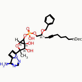 CCCCCCCCCCCCCCC#CC[C@H](COP(=O)(O)OC1[C@H]2O[C@@](C)(c3ccc4c(N)ncnn34)[C@H](O)[C@@]12O)OCc1ccccc1